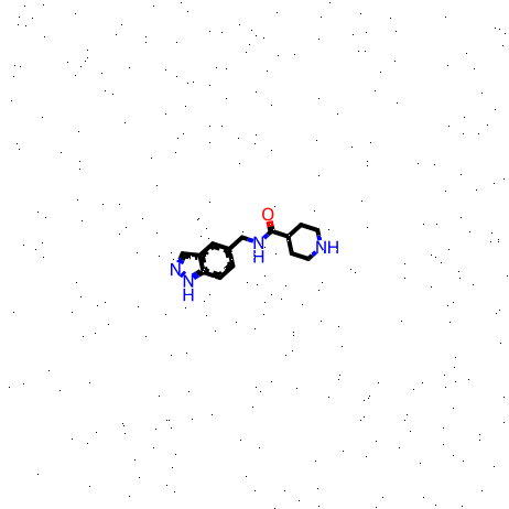 O=C(NCc1ccc2[nH]ncc2c1)C1CCNCC1